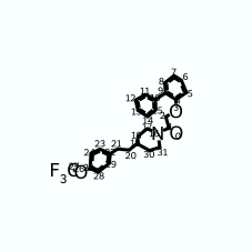 O=C(COc1ccccc1-c1ccccc1)N1CCC(CCc2ccc(OC(F)(F)F)cc2)CC1